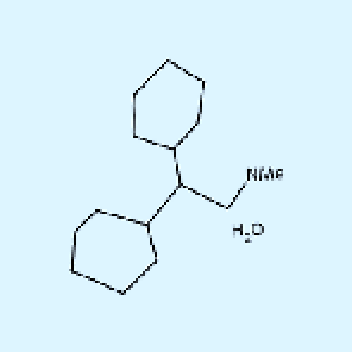 CNCC(C1CCCCC1)C1CCCCC1.O